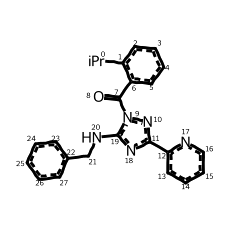 CC(C)c1ccccc1C(=O)n1nc(-c2ccccn2)nc1NCc1ccccc1